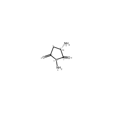 N[C@H]1CC(=O)N(N)C1=O